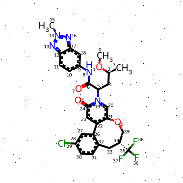 CO[C@@H](C)CC(C(=O)Nc1ccc2nn(C)nc2c1)n1cc2c(cc1=O)-c1cc(Cl)ccc1C[C@@H](C(F)(F)F)CO2